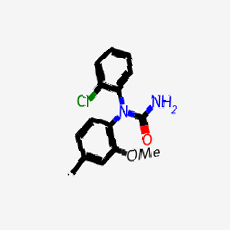 [CH2]c1ccc(N(C(N)=O)c2ccccc2Cl)c(OC)c1